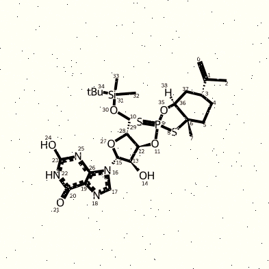 C=C(C)[C@@H]1CC[C@]2(C)SP(=S)(O[C@H]3[C@@H](O)[C@H](n4cnc5c(=O)[nH]c(O)nc54)O[C@@H]3CO[Si](C)(C)C(C)(C)C)O[C@H]2C1